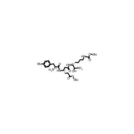 CC(C)(C)OC(=O)CC[C@@H](CC(=O)N[C@H](CCCCNC(=O)OC(C)(C)C)C(N)O)NC(=O)[C@@H](N)Cc1ccc(C(C)(C)C)cc1